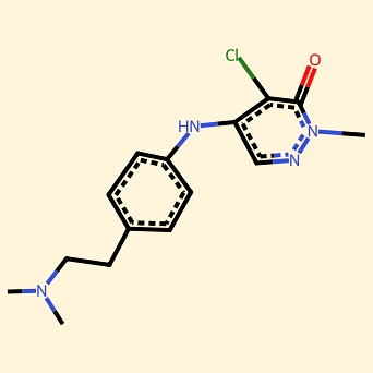 CN(C)CCc1ccc(Nc2cnn(C)c(=O)c2Cl)cc1